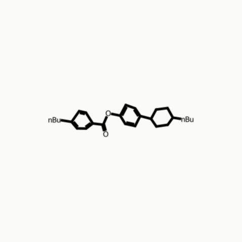 CCCCc1ccc(C(=O)Oc2ccc(C3CCC(CCCC)CC3)cc2)cc1